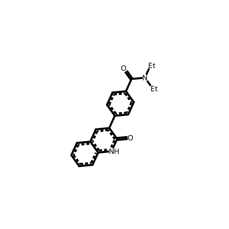 CCN(CC)C(=O)c1ccc(-c2cc3ccccc3[nH]c2=O)cc1